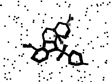 CC[C@@H]1C=C[C@@H]2c3c(c4c(OC)cccc4n3S(=O)(=O)c3ccc(C)cc3)CCN2C1